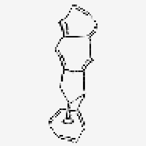 O=C1C2c3ccccc3C1c1cc3ccccc3cc12